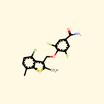 Cc1ccc(Cl)c2c(COc3c(F)cc(C(N)=O)cc3F)c(C(=O)O)sc12